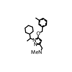 CNCc1cc(OCc2cccc(C)c2)n(C(C)C2CCCCC2)n1